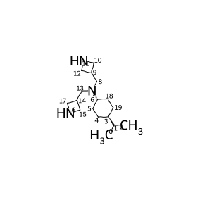 CC(C)[C@H]1CC[C@H](N(CC2CNC2)CC2CNC2)CC1